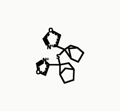 c1occ(C2(SC3(c4coc#[n+]4)CC4CCC3C4)CC3CCC2C3)[n+]#1